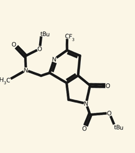 CN(Cc1nc(C(F)(F)F)cc2c1CN(C(=O)OC(C)(C)C)C2=O)C(=O)OC(C)(C)C